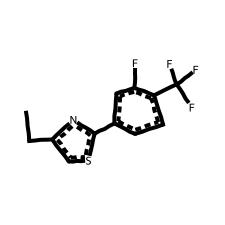 CCc1csc(-c2ccc(C(F)(F)F)c(F)c2)n1